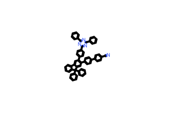 N#Cc1ccc(-c2ccc(-c3cc4c(cc3-c3ccc(-c5nc(-c6ccccc6)nc(-c6ccccc6)n5)cc3)-c3ccccc3C4(c3ccccc3)c3ccccc3)cc2)cc1